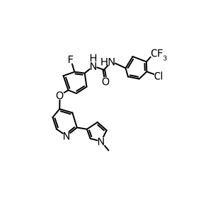 Cn1ccc(-c2cc(Oc3ccc(NC(=O)Nc4ccc(Cl)c(C(F)(F)F)c4)c(F)c3)ccn2)c1